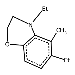 CCc1ccc2c(c1C)N(CC)CCO2